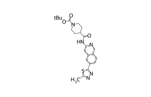 Cc1nnc(-c2ccc3cnc(NC(=O)C4CCN(C(=O)OC(C)(C)C)CC4)cc3c2)s1